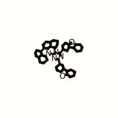 c1ccc2c3c(ccc2c1)-c1cccc2cccc(c12)N3c1nc(-c2ccc3oc4ccccc4c3c2)nc(-c2ccc3oc4ccccc4c3c2)n1